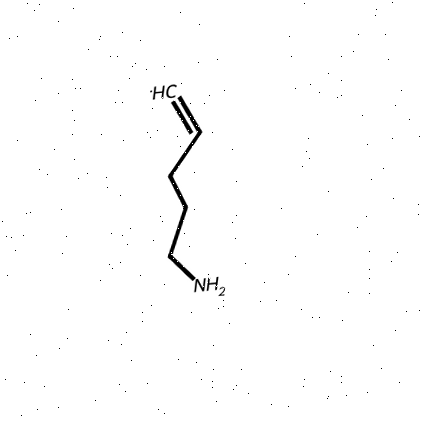 [CH]=CCCCN